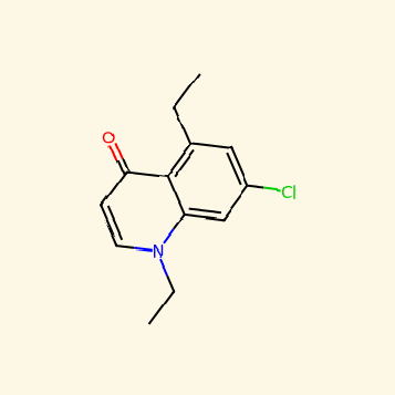 CCc1cc(Cl)cc2c1c(=O)ccn2CC